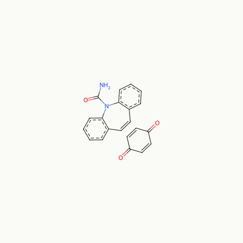 NC(=O)N1c2ccccc2C=Cc2ccccc21.O=C1C=CC(=O)C=C1